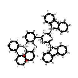 c1ccc(-c2ccccc2B2c3ccccc3Oc3c2cccc3-c2nc(-n3c4ccccc4c4ccccc43)nc(-n3c4ccccc4c4ccccc43)n2)cc1